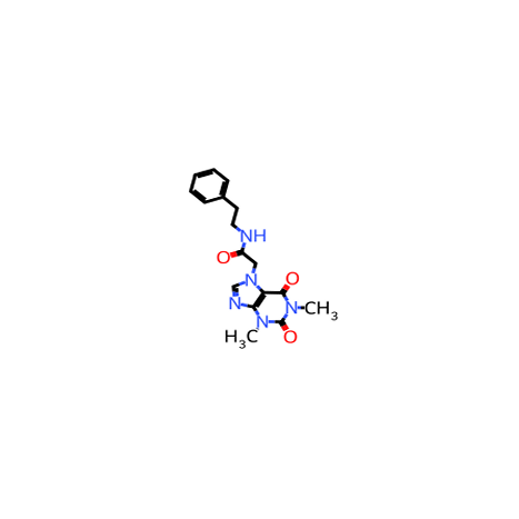 Cn1c(=O)c2c(ncn2CC(=O)NCCc2ccccc2)n(C)c1=O